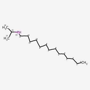 CCCCCCCCCCCCCCPC(C)C